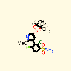 COc1ncc(B2OC(C)(C)C(C)(C)O2)cc1-c1c(F)ccc(S(N)(=O)=O)c1Cl